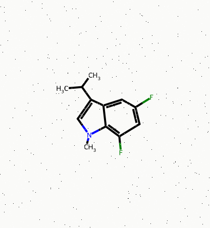 CC(C)c1cn(C)c2c(F)cc(F)cc12